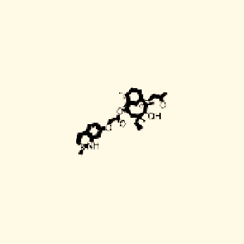 C=C[C@]1(C)C[C@@H](OC(=O)COc2ccc3c(c2)NB(C)C=C3)[C@@]2(C)C[C@](CCC(C)=O)(CC[C@H]2C)[C@@H](C)[C@@H]1O